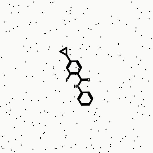 O=C(Nc1ccccc1)c1ccc(C2CC2)cc1F